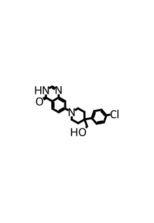 O=c1[nH]cnc2cc(N3CCC(CO)(c4ccc(Cl)cc4)CC3)ccc12